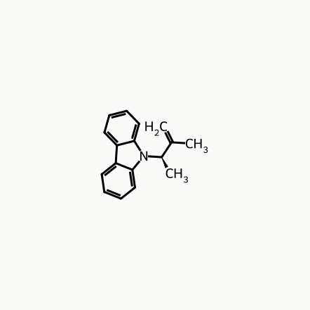 C=C(C)[C@@H](C)n1c2ccccc2c2ccccc21